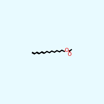 C=C/C=C/C=C/CCCCCCCCOC(C)=O